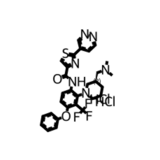 CN(C)C[C@H]1CCCN(c2c(NC(=O)c3csc(-c4ccnnc4)n3)ccc(Oc3ccccc3)c2C(F)(F)F)C1.Cl.Cl